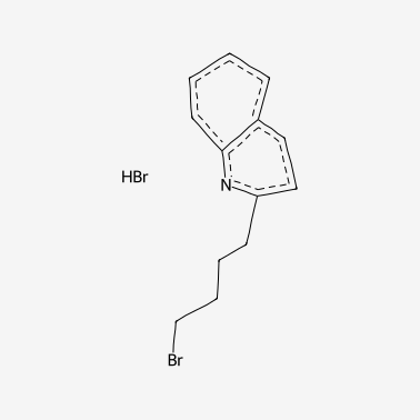 Br.BrCCCCc1ccc2ccccc2n1